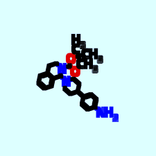 CC(C)(C)OC(=O)N1CCc2ccccc2C1N1CCC(c2ccc(N)cc2)CC1